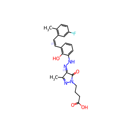 CC1=NN(CCCC(=O)O)C(=O)/C1=N\Nc1cccc(/C=C\c2cc(F)ccc2C)c1O